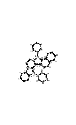 c1ccc(-n2c3ccc4c5ccccc5n(-c5ccncn5)c4c3c3ccc4ccccc4c32)cc1